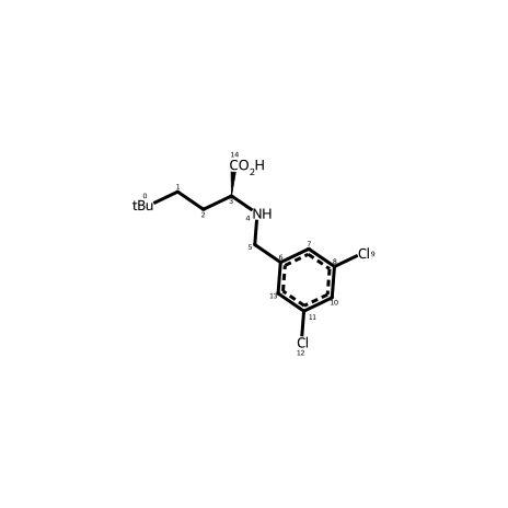 CC(C)(C)CC[C@H](NCc1cc(Cl)cc(Cl)c1)C(=O)O